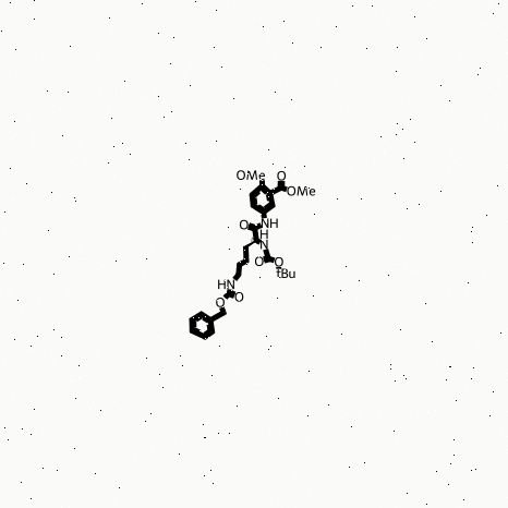 COC(=O)c1cc(NC(=O)[C@H](CCCCNC(=O)OCc2ccccc2)NC(=O)OC(C)(C)C)ccc1OC